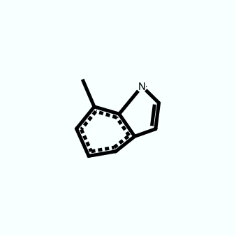 Cc1cccc2c1[N]C=C2